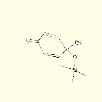 C[Si](C)(C)OC1(C#N)C=CC(=O)C=C1